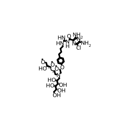 COC[C@@H](O)[C@H](C[C@H](CN(CCOc1ccc(CCCCNC(=N)NC(=O)c2nc(Cl)c(N)nc2N)cc1)C[C@H](O)[C@@H](O)[C@H](O)[C@H](O)CO)OC)OC